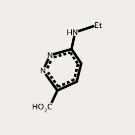 CCNc1ccc(C(=O)O)nn1